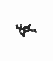 C=CC(F)(F)c1cc(C)c(N)cc1C(=C)C